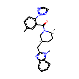 Cc1ccc(-n2nccn2)c(C(=O)N2C[C@H](Cc3nc4ccccc4n3C)CC[C@H]2C)c1